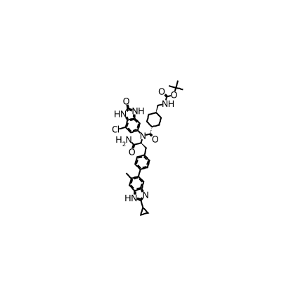 Cc1cc2[nH]c(C3CC3)nc2cc1-c1ccc(C[C@@H](C(N)=O)N(c2cc(Cl)c3[nH]c(=O)[nH]c3c2)C(=O)[C@H]2CC[C@H](CNC(=O)OC(C)(C)C)CC2)cc1